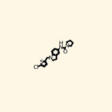 O=C(Nc1ccc2c(c1)CCN2Cc1ccc(Cl)s1)N1CCCC1